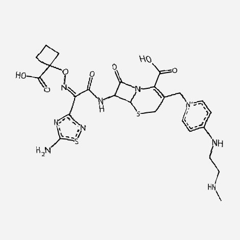 CNCCNc1cc[n+](CC2=C(C(=O)O)N3C(=O)C(NC(=O)/C(=N\OC4(C(=O)O)CCC4)c4nsc(N)n4)C3SC2)cc1